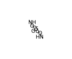 CCNCCOc1ccc2c(=O)c3cc(OCCNCC)ccc3sc2c1